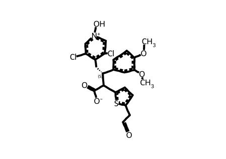 COc1ccc([C@@H](Cc2c(Cl)c[n+](O)cc2Cl)C(C(=O)[O-])c2ccc(CC=O)s2)cc1OC